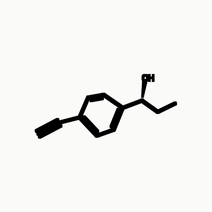 C#Cc1ccc([C@H](O)CC)cc1